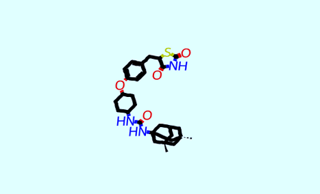 C[C@]12CC3CC(NC(=O)NC4CCC(Oc5ccc(CC6SC(=O)NC6=O)cc5)CC4)(C1)C[C@@](C)(C3)C2